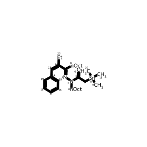 CCCCCCCCC(=NN(CCCCCCCC)C(=O)[CH2][Sn]([CH3])([CH3])[CH3])C(=Cc1ccccc1)CC